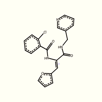 O=C(NCc1cccnc1)/C(=C/c1ccco1)NC(=O)c1ccccc1Cl